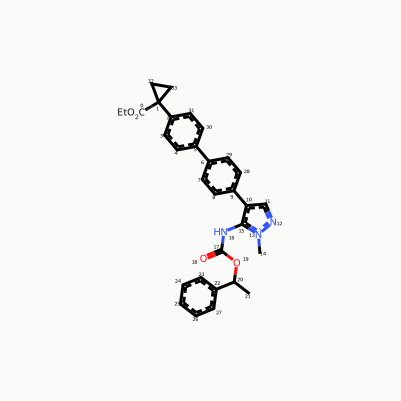 CCOC(=O)C1(c2ccc(-c3ccc(-c4cnn(C)c4NC(=O)OC(C)c4ccccc4)cc3)cc2)CC1